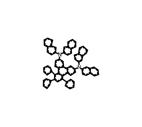 c1ccc(-c2cc(-c3ccccc3)c3c4ccc(N(c5ccc6ccccc6c5)c5ccc6ccccc6c5)cc4c4cc(N(c5ccc6ccccc6c5)c5ccc6ccccc6c5)ccc4c3c2-c2ccccc2)cc1